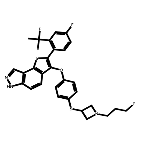 CC(F)(F)c1cc(F)ccc1-c1sc2c(ccc3[nH]ncc32)c1Oc1ccc(SC2CN(CCCF)C2)cc1